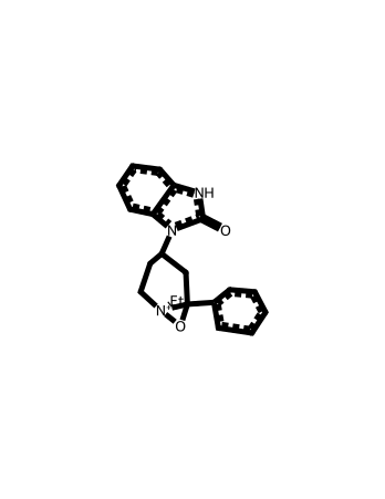 CC[N+]12CCC(n3c(=O)[nH]c4ccccc43)CC1(c1ccccc1)O2